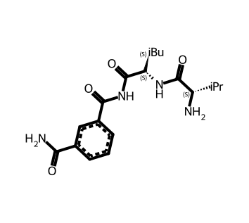 CC[C@H](C)[C@H](NC(=O)[C@@H](N)C(C)C)C(=O)NC(=O)c1cccc(C(N)=O)c1